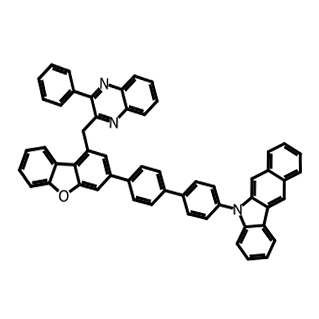 c1ccc(-c2nc3ccccc3nc2Cc2cc(-c3ccc(-c4ccc(-n5c6ccccc6c6cc7ccccc7cc65)cc4)cc3)cc3oc4ccccc4c23)cc1